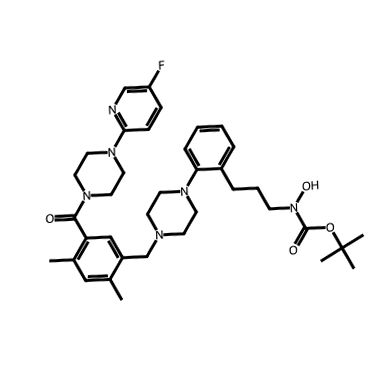 Cc1cc(C)c(C(=O)N2CCN(c3ccc(F)cn3)CC2)cc1CN1CCN(c2ccccc2CCCN(O)C(=O)OC(C)(C)C)CC1